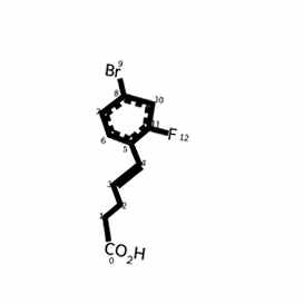 O=C(O)CCC=Cc1ccc(Br)cc1F